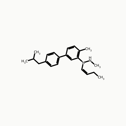 CC/C=C\N(NC)c1cc(-c2ccc(CC(C)C)cc2)ccc1C